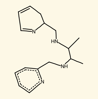 CC(NCc1ccccn1)C(C)NCC1CC=CC=N1